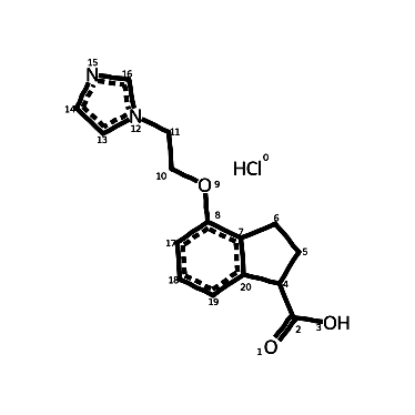 Cl.O=C(O)C1CCc2c(OCCn3ccnc3)cccc21